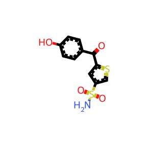 NS(=O)(=O)c1csc(C(=O)c2ccc(O)cc2)c1